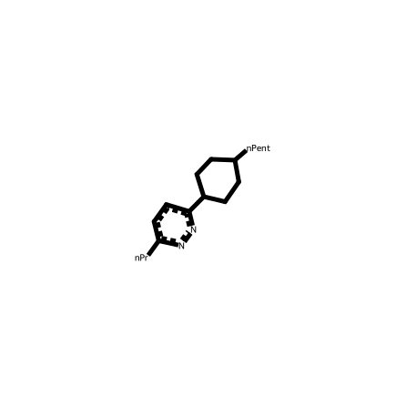 CCCCCC1CCC(c2ccc(CCC)nn2)CC1